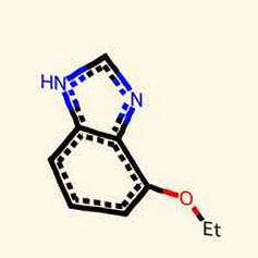 CCOc1cccc2[nH]cnc12